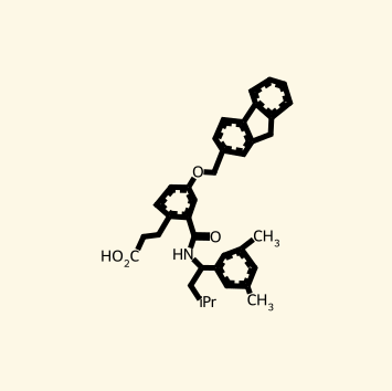 Cc1cc(C)cc(C(CC(C)C)NC(=O)c2cc(OCc3ccc4c(c3)Cc3ccccc3-4)ccc2CCC(=O)O)c1